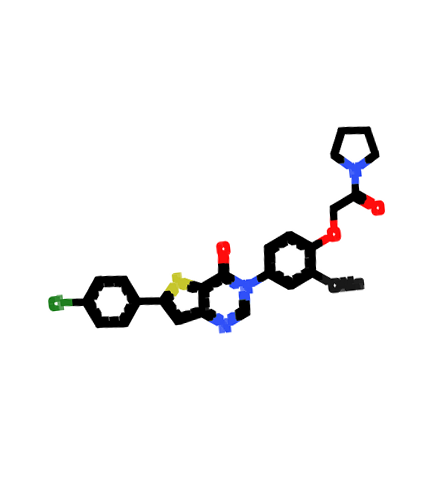 COc1cc(-n2cnc3cc(-c4ccc(Cl)cc4)sc3c2=O)ccc1OCC(=O)N1CCCC1